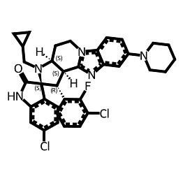 O=C1Nc2cc(Cl)ccc2[C@@]12[C@@H](c1cccc(Cl)c1F)[C@@H]1c3nc4cc(N5CCCCC5)ccc4n3CC[C@@H]1N2CC1CC1